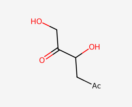 CC(=O)CC(O)C(=O)CO